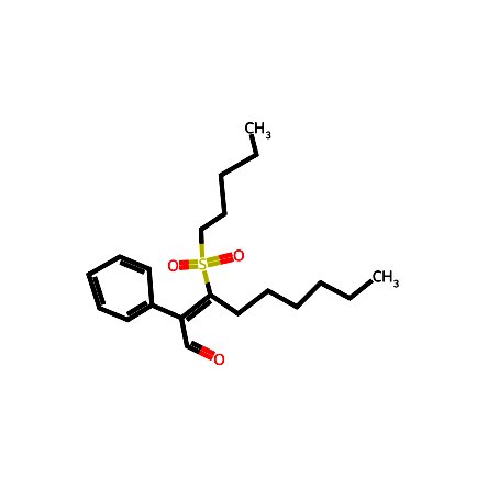 CCCCCCC(=C(C=O)c1ccccc1)S(=O)(=O)CCCCC